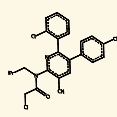 CC(C)CN(C(=O)CCl)c1nc(-c2ccccc2Cl)c(-c2ccc(Cl)cc2)cc1C#N